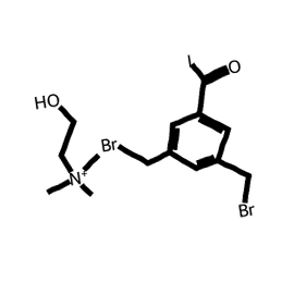 C[N+](C)(C)CCO.O=C(I)c1cc(CBr)cc(CBr)c1